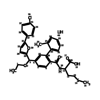 CCOC(c1ccc(C(=O)NC(CCSC)C(=O)O)c(-c2ccccc2C)c1)c1ccc(-c2ccc(Cl)cc2)o1.[LiH]